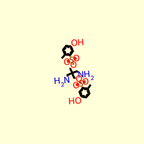 Cc1ccc(O)cc1S(=O)(=O)OCC(CN)(CN)COS(=O)(=O)c1cc(O)ccc1C